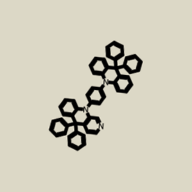 c1ccc(C2(c3ccccc3)c3ccccc3N(c3ccc(N4c5ccccc5C(c5ccccc5)(c5ccccc5)c5ccncc54)cc3)c3ccccc32)cc1